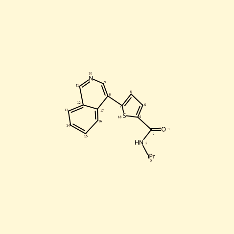 CC(C)NC(=O)c1ccc(-c2cncc3ccccc23)s1